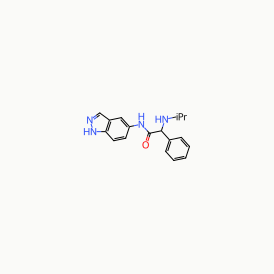 CC(C)NC(C(=O)Nc1ccc2[nH]ncc2c1)c1ccccc1